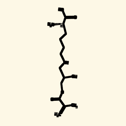 C=C(C)C(=O)OCC(O)CNCCCC[C@H](N)C(=O)O